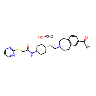 CC(C)C(=O)c1ccc2c(c1)CCN(CC[C@H]1CC[C@H](NC(=O)CSc3ncccn3)CC1)CC2.O=CO